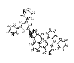 c1ccc(-c2c3ccccc3c(-c3cc4nn(-c5cc(-c6cccnc6)cc(-c6cccnc6)c5)nc4c4ccccc34)c3ccccc23)cc1